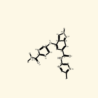 Cc1cnc(NC(=O)c2cc(Oc3cnc(C(=O)N(C)C)nc3)c3cn(C)nc3c2)cn1